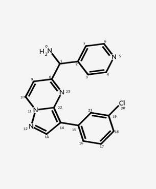 NC(c1ccncc1)c1ccn2ncc(-c3cccc(Cl)c3)c2n1